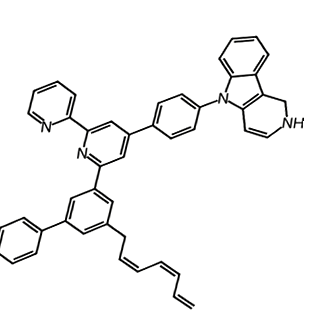 C=C/C=C\C=C/Cc1cc(-c2ccccc2)cc(-c2cc(-c3ccc(-n4c5c(c6ccccc64)CNC=C5)cc3)cc(-c3ccccn3)n2)c1